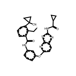 N#CC1(c2cccc(C(=O)Nc3cccc(Oc4ccc5nc(NC(=O)C6CC6)sc5n4)c3)c2CI)CC1